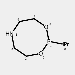 CC(C)B1OCCNCCO1